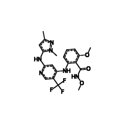 CONC(=O)c1c(Nc2cc(Nc3cc(C)nn3C)ncc2C(F)(F)F)cccc1OC